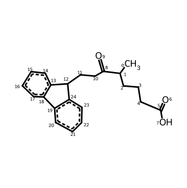 CC(CCCC(=O)O)C(=O)CCC1c2ccccc2-c2ccccc21